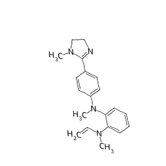 C=CN(C)c1ccccc1N(C)c1ccc(C2=NCCN2C)cc1